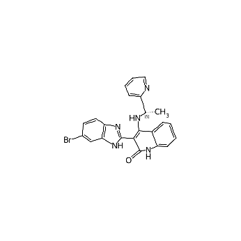 C[C@H](Nc1c(-c2nc3ccc(Br)cc3[nH]2)c(=O)[nH]c2ccccc12)c1ccccn1